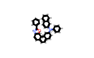 c1ccc(-c2nc3ccc4ccc5ccc(N(c6ccccc6)c6ccc7ccccc7c6)cc5c4c3o2)cc1